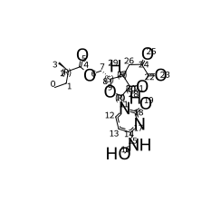 CC[C@@H](C)C(=O)OC[C@H]1O[C@@H](n2ccc(NO)nc2=O)[C@@H]2OC(=O)C(=O)C[C@@H]21